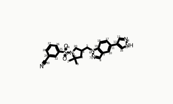 CC1(C)CC(Cn2ncc3cc(-c4cn[nH]c4)ccc32)CN1S(=O)(=O)c1cccc(C#N)c1